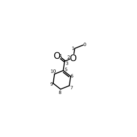 CCOC(=O)C1=CCCCC1